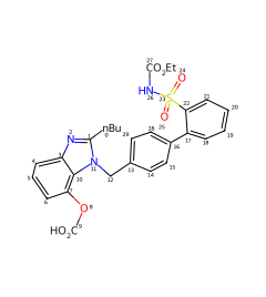 CCCCc1nc2cccc(OC(=O)O)c2n1Cc1ccc(-c2ccccc2S(=O)(=O)NC(=O)OCC)cc1